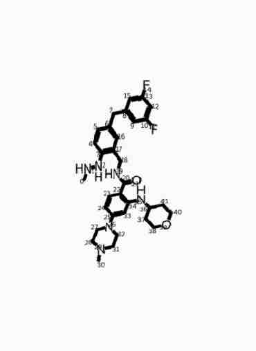 CNNc1ccc(Cc2cc(F)cc(F)c2)cc1CNC(=O)c1ccc(N2CCN(C)CC2)cc1NC1CCOCC1